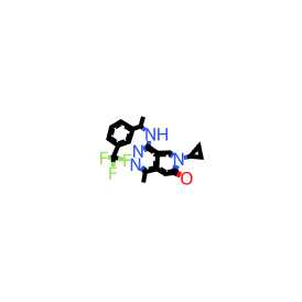 Cc1nnc(NC(C)c2cccc(C(F)(F)F)c2)c2cn(C3CC3)c(=O)cc12